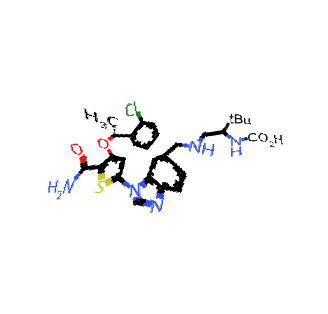 C[C@@H](Oc1cc(-n2cnc3ccc(CNCC(NC(=O)O)C(C)(C)C)cc32)sc1C(N)=O)c1ccccc1Cl